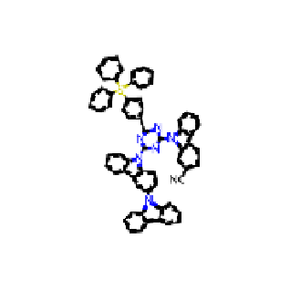 N#Cc1ccc2c3ccccc3n(-c3nc(-c4ccc(S(c5ccccc5)(c5ccccc5)c5ccccc5)cc4)nc(-n4c5ccccc5c5cc(-n6c7ccccc7c7ccccc76)ccc54)n3)c2c1